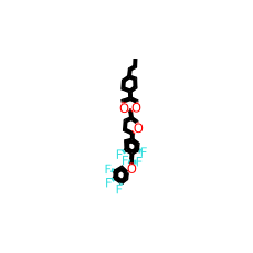 CCCC1CCC(C2COC(C3CCC(c4cc(F)c(C(F)(F)Oc5cc(F)c(F)c(F)c5)c(F)c4)OC3)OC2)CC1